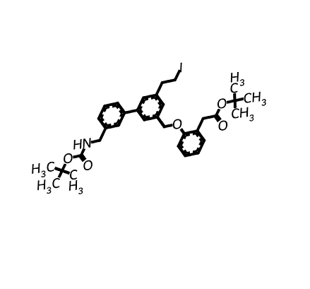 CC(C)(C)OC(=O)Cc1ccccc1OCc1cc(CCI)cc(-c2cccc(CNC(=O)OC(C)(C)C)c2)c1